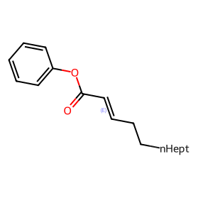 CCCCCCCCC/C=C/C(=O)Oc1ccccc1